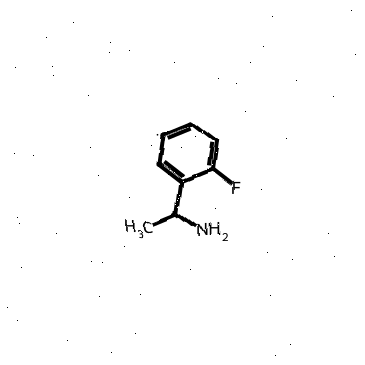 CC(N)c1c[c]ccc1F